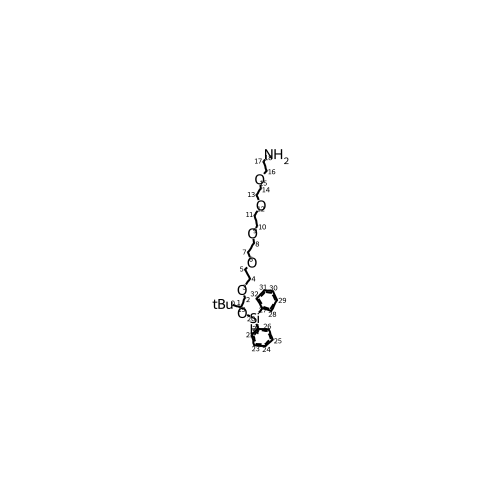 CC(C)(C)C(COCCOCCOCCOCCOCCN)O[SiH](c1ccccc1)c1ccccc1